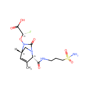 CC1=C[C@H]2CN(C(=O)N2O[C@@H](F)C(=O)O)[C@@H]1C(=O)NCCCS(N)(=O)=O